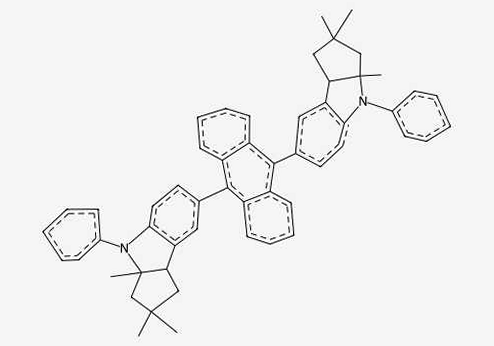 CC1(C)CC2c3cc(-c4c5ccccc5c(-c5ccc6c(c5)C5CC(C)(C)CC5(C)N6c5ccccc5)c5ccccc45)ccc3N(c3ccccc3)C2(C)C1